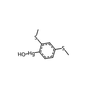 CSc1cc[c]([Hg][OH])c(SC)c1